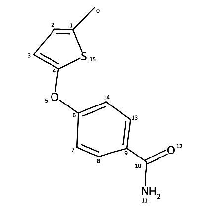 Cc1ccc(Oc2ccc(C(N)=O)cc2)s1